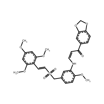 COc1cc(OC)c(/C=C/S(=O)(=O)Cc2ccc(OC)c(N/C=C\C(=O)c3ccc4c(c3)OCO4)c2)c(OC)c1